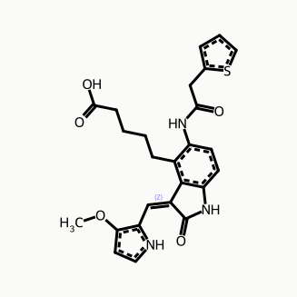 COc1cc[nH]c1/C=C1\C(=O)Nc2ccc(NC(=O)Cc3cccs3)c(CCCCC(=O)O)c21